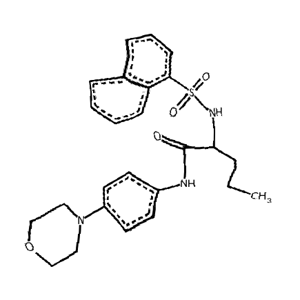 CCCC(NS(=O)(=O)c1cccc2ccccc12)C(=O)Nc1ccc(N2CCOCC2)cc1